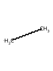 [CH2]CCCCCCCCCCCC=CCCCCCC